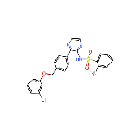 O=S(=O)(Nc1nccnc1-c1ccc(COc2cccc(Cl)c2)cc1)c1ccccc1C(F)(F)F